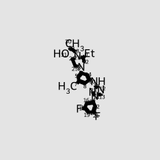 CCC1CN(c2cc(C)cc(Nc3ncn(-c4cc(F)cc(F)c4)n3)c2)CCN1CC(C)O